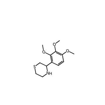 COc1ccc(C2CSCCN2)c(OC)c1OC